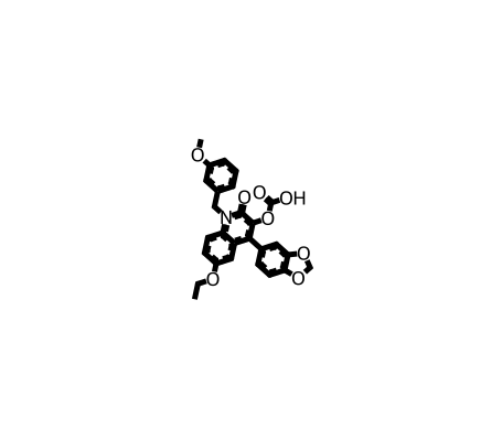 CCOc1ccc2c(c1)c(-c1ccc3c(c1)OCO3)c(OC(=O)O)c(=O)n2Cc1cccc(OC)c1